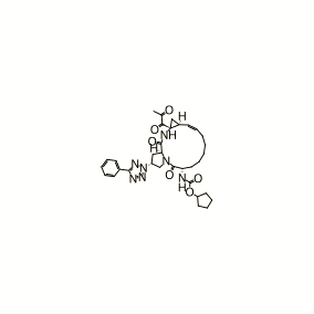 CC(=O)C(=O)[C@@]12C[C@H]1/C=C\CCCCC[C@H](NC(=O)OC1CCCC1)C(=O)N1C[C@H](n3nnc(-c4ccccc4)n3)C[C@H]1C(=O)N2